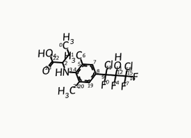 CCC(Nc1c(C)cc(C(F)(Cl)C(O)(F)C(F)(F)Cl)cc1C)C(=O)O